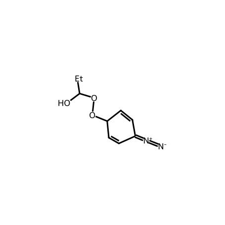 CCC(O)OOC1C=CC(=[N+]=[N-])C=C1